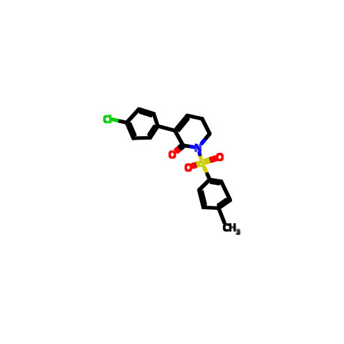 Cc1ccc(S(=O)(=O)N2CCC=C(c3ccc(Cl)cc3)C2=O)cc1